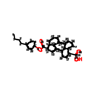 CCCCc1ccc(OC(=O)c2ccc3c4ccc(C(=O)O)c5cccc(c6cccc2c63)c54)cc1